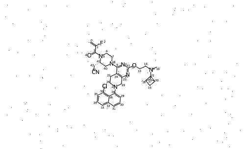 C=C(F)C(=O)N1CCN(c2nc(OCCN(C)C3C4CC3C4)nc3c2CCN(c2cccc4cccc(Cl)c24)C3)C[C@@H]1CC#N